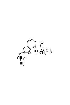 CCC1(CC)CC2=C(O1)C(OC)(C(=O)OC)CC=C2